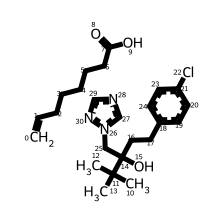 C=CCCCCCC(=O)O.CC(C)(C)C(O)(CCc1ccc(Cl)cc1)Cn1cncn1